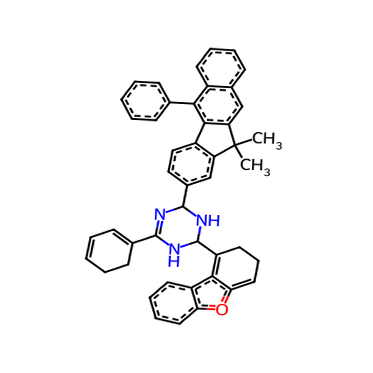 CC1(C)c2cc(C3N=C(C4=CC=CCC4)NC(C4=c5c(oc6ccccc56)=CCC4)N3)ccc2-c2c1cc1ccccc1c2-c1ccccc1